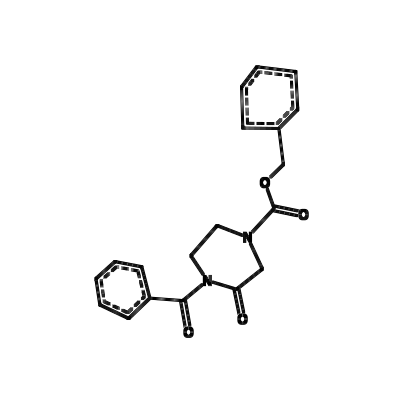 O=C(OCc1ccccc1)N1CCN(C(=O)c2ccccc2)C(=O)C1